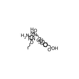 CCCCOc1nc(N)c2[nH]c(=O)n(CCCN(Cc3cccc(CC(=O)O)c3)S(C)(=O)=O)c2n1